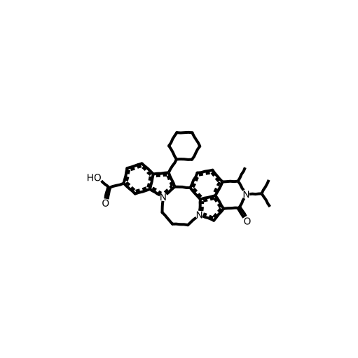 CC(C)N1C(=O)c2cn3c4c(ccc(c24)C1C)-c1c(C2CCCCC2)c2ccc(C(=O)O)cc2n1CCC3